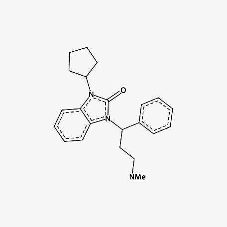 CNCCC(c1ccccc1)n1c(=O)n(C2CCCC2)c2ccccc21